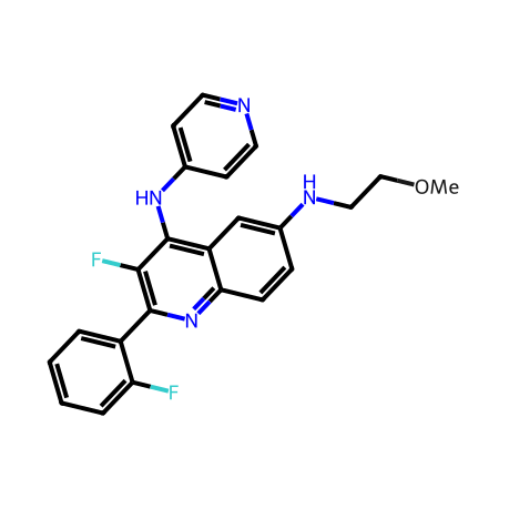 COCCNc1ccc2nc(-c3ccccc3F)c(F)c(Nc3ccncc3)c2c1